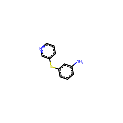 Nc1cccc(Sc2cccnc2)c1